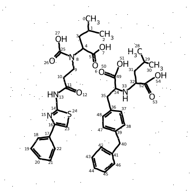 CC(C)CC(C(=O)O)N(CCC(=O)Nc1nc(-c2ccccc2)cs1)C(=O)O.CC(C)CC(NC(Cc1ccc(Cc2ccccc2)cc1)C(=O)O)C(=O)O